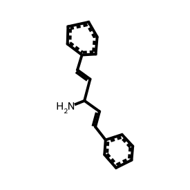 NC(C=Cc1ccccc1)C=Cc1ccccc1